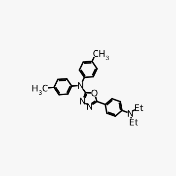 CCN(CC)c1ccc(-c2nnc(N(c3ccc(C)cc3)c3ccc(C)cc3)o2)cc1